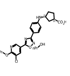 CC(C)Oc1ncc(-c2nc(-c3ccc(N[C@H]4CC[C@@H](C(=O)O)C4)cc3)no2)cc1Cl.CCCO